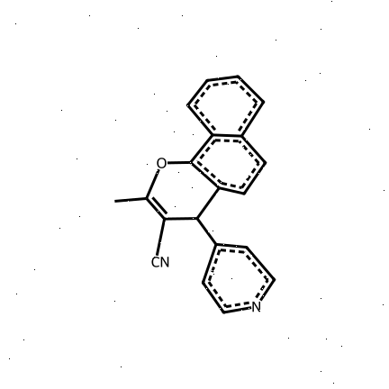 CC1=C(C#N)C(c2ccncc2)c2ccc3ccccc3c2O1